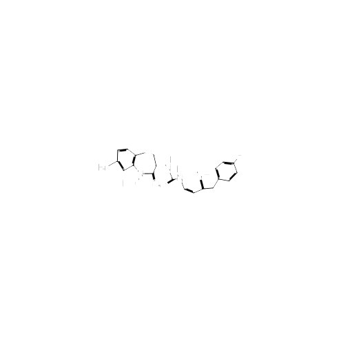 CN1C(=O)[C@@H](NC(=O)N/C=C\C(=N)Cc2ccc(F)cc2)COc2ccc(Br)cc21